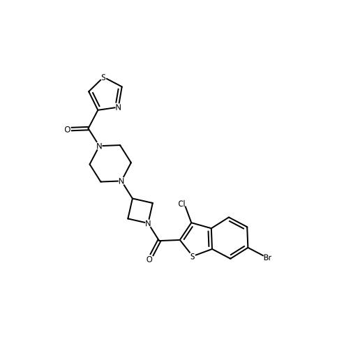 O=C(c1cscn1)N1CCN(C2CN(C(=O)c3sc4cc(Br)ccc4c3Cl)C2)CC1